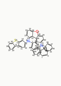 c1ccc(-c2ccc(N(c3ccc4c(c3)sc3ccccc34)c3cccc4oc5ccc(N(c6ccccc6)c6ccccc6)cc5c34)cc2)cc1